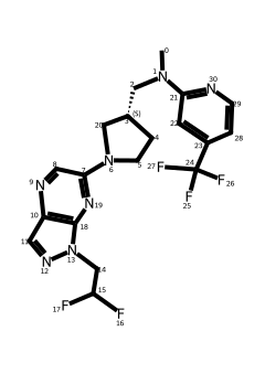 CN(C[C@@H]1CCN(c2cnc3cnn(CC(F)F)c3n2)C1)c1cc(C(F)(F)F)ccn1